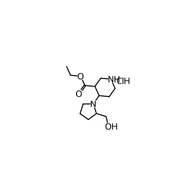 CCOC(=O)C1CNCCC1N1CCCC1CO.Cl